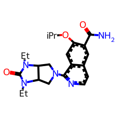 CCN1C(=O)N(CC)C2CN(c3nccc4cc(C(N)=O)c(OC(C)C)cc34)CC21